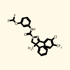 CC1(c2ccccc2)CN(C(=O)Nc2cccc(OC(F)F)c2)N=C1c1ccc(C(F)(F)F)c(Cl)c1